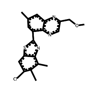 COCc1cnc2c(-c3nc4c(C)c(C)c(Cl)cc4s3)cc(C)cc2n1